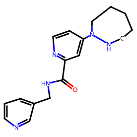 O=C(NCc1cccnc1)c1cc(N2CCCCCN2)ccn1